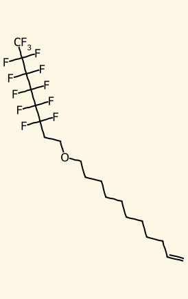 C=CCCCCCCCCCOCCC(F)(F)C(F)(F)C(F)(F)C(F)(F)C(F)(F)C(F)(F)F